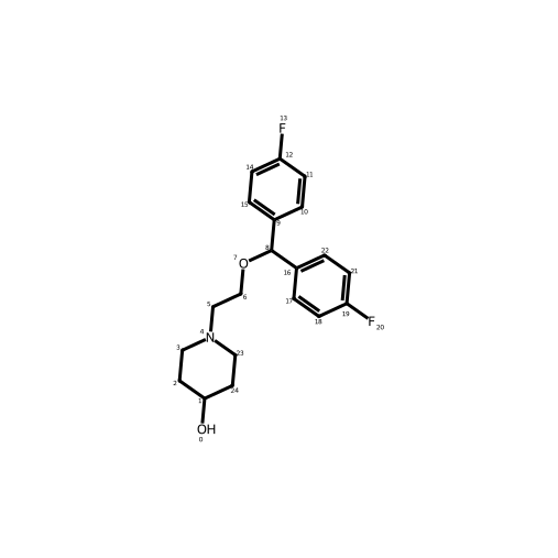 OC1CCN(CCOC(c2ccc(F)cc2)c2ccc(F)cc2)CC1